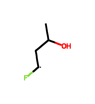 CC(O)C[CH]F